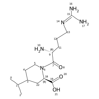 CC(C)C1CCN(C(=O)[C@H](N)CCCN=C(N)N)[C@@H](C(=O)O)C1